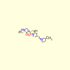 CC(C)C[C@@H]1NCCN([C@@H](CC(C)C)C(=O)N2CCC(CCN3CCC[C@H](C)C3)CC2)C1=O